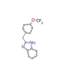 FC(F)(F)Oc1ccc(Cc2nc3ccccc3[nH]2)cc1